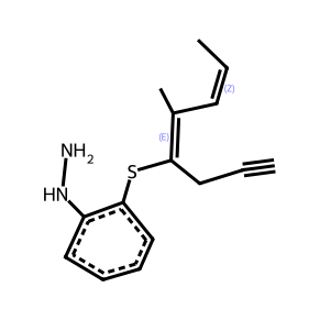 C#CC/C(Sc1ccccc1NN)=C(C)\C=C/C